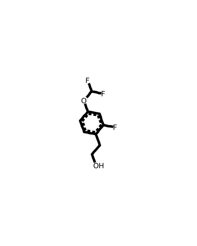 OCCc1ccc(OC(F)F)cc1F